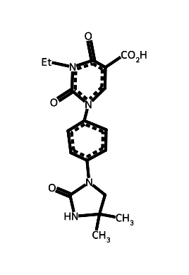 CCn1c(=O)c(C(=O)O)cn(-c2ccc(N3CC(C)(C)NC3=O)cc2)c1=O